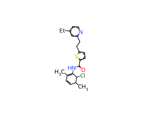 CCc1ccnc(CCc2ccc(C(=O)NC3=C(C)C=CC(C)C3Cl)s2)c1